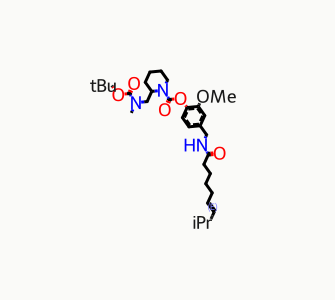 COc1cc(CNC(=O)CCCC/C=C/C(C)C)ccc1OC(=O)N1CCCCC1CN(C)C(=O)OC(C)(C)C